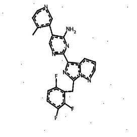 Cc1ccncc1-c1cnc(-c2nc(Cc3c(F)ccc(F)c3F)n3ncccc23)nc1N